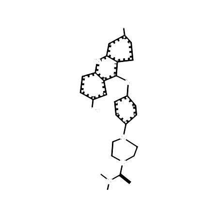 CCN(CC)C(=O)N1CCN(c2ccc(Nc3c4ccc(Cl)cc4nc4ccc(OC)cc34)cc2)CC1